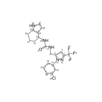 O=C(NCc1cc(C(F)(F)F)nn1-c1cccc(Cl)c1)NC1CCCc2[nH]ccc21